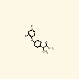 CC(C(N)=O)c1ccc(Oc2ccc(F)cc2F)cn1